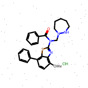 COc1ccc(-c2ccccc2)c2sc(N(CN3CCCCCN3)C(=O)c3ccccc3)nc12.Cl